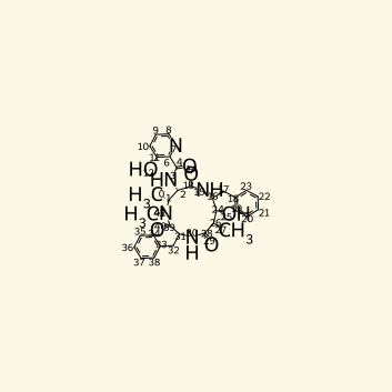 C[C@@H]1[C@H](NC(=O)c2ncccc2O)C(=O)N[C@@H](Cc2ccccc2)[C@@H](O)[C@@H](C)C(=O)NC(Cc2ccccc2)C(=O)N1C